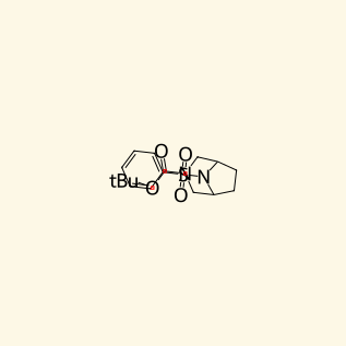 CC(C)(C)OC(=O)N1CC2CCC(C1)N2S(=O)(=O)c1ccccc1